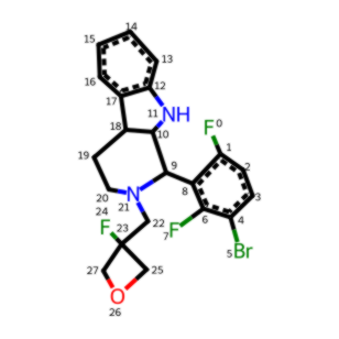 Fc1ccc(Br)c(F)c1C1C2Nc3ccccc3C2CCN1CC1(F)COC1